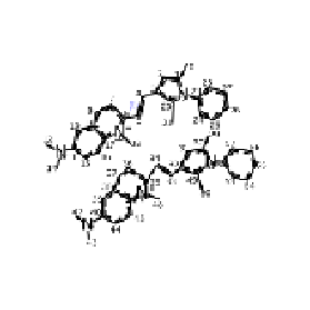 Cc1cc(/C=C/c2ccc3cc(N(C)C)ccc3[n+]2C)c(C)n1-c1ccccc1.Cc1cc(C=Cc2ccc3cc(N(C)C)ccc3[n+]2C)c(C)n1-c1ccccc1